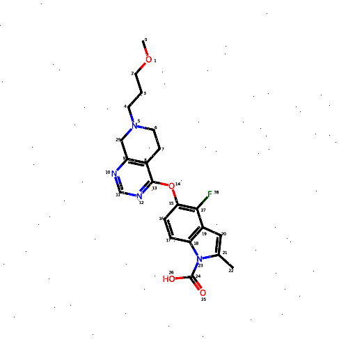 COCCCN1CCc2c(ncnc2Oc2ccc3c(cc(C)n3C(=O)O)c2F)C1